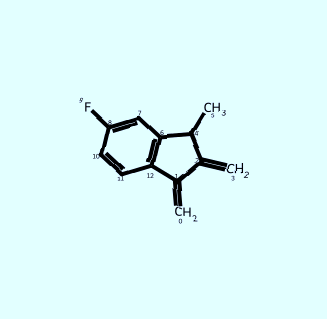 C=C1C(=C)C(C)c2cc(F)ccc21